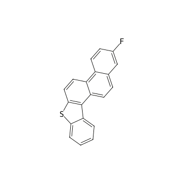 Fc1ccc2c(ccc3c2ccc2sc4ccccc4c23)c1